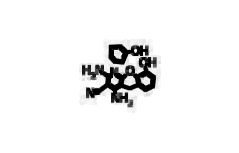 N#Cc1c(N)nc2c(c1N)Cc1cccc(O)c1O2.Oc1ccccc1